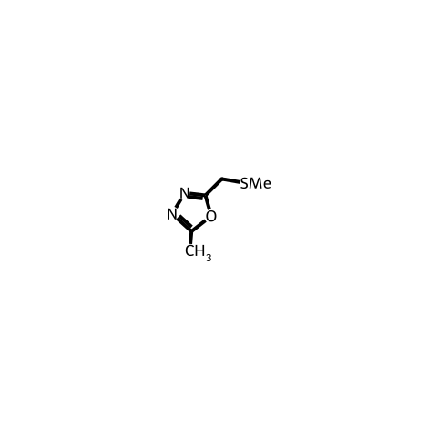 CSCc1nnc(C)o1